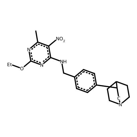 CCOc1nc(C)c([N+](=O)[O-])c(NCc2ccc(C3CN4CCC3CC4)cc2)n1